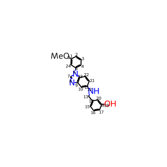 COc1cccc(-n2cnc3cc(NCc4cccc(O)c4)ccc32)c1